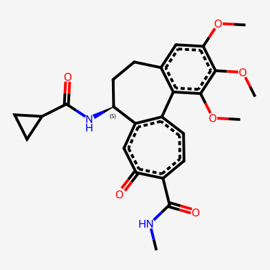 CNC(=O)c1ccc2c(cc1=O)[C@@H](NC(=O)C1CC1)CCc1cc(OC)c(OC)c(OC)c1-2